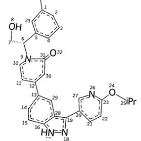 Cc1cccc([C@@H](CO)n2ccc(-c3ccc4[nH]nc(-c5ccc(OC(C)C)nc5)c4c3)cc2=O)c1